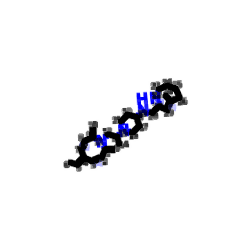 C=C1/C=C\C(=CC)/C=C\C(=C)N1CC(C)N1CCC(NCC2=N/CCCC\C(C)=C\2)CC1